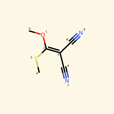 COC(SC)=C(C#N)C#N